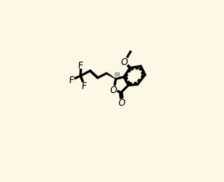 COc1cccc2c1[C@H](CCCC(F)(F)F)OC2=O